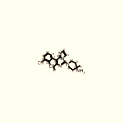 CC1(N)CCN(c2nc(CF)c(-c3cccc(Cl)c3Cl)c3nccn23)CC1